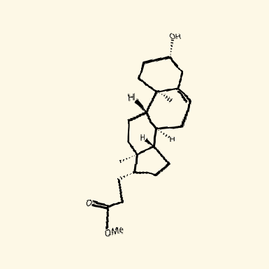 COC(=O)CC[C@H]1CC[C@H]2[C@@H]3CC=C4C[C@@H](O)CC[C@]4(C)[C@H]3CC[C@]12C